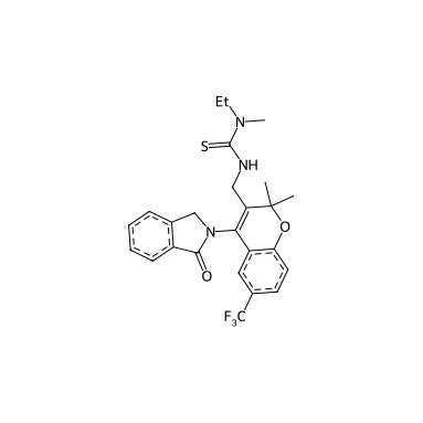 CCN(C)C(=S)NCC1=C(N2Cc3ccccc3C2=O)c2cc(C(F)(F)F)ccc2OC1(C)C